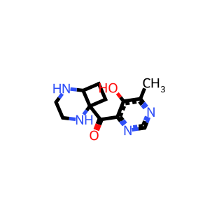 Cc1ncnc(C(=O)C23CCC2NCCN3)c1O